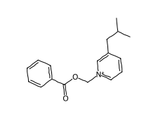 CC(C)Cc1ccc[n+](COC(=O)c2ccccc2)c1